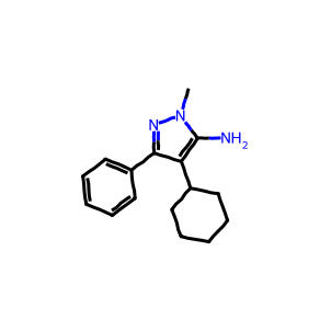 Cn1nc(-c2ccccc2)c(C2CCCCC2)c1N